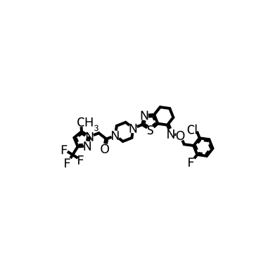 Cc1cc(C(F)(F)F)nn1CC(=O)N1CCN(c2nc3c(s2)C(=NOCc2c(F)cccc2Cl)CCC3)CC1